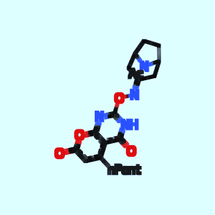 CCCCCc1cc(=O)oc2nc(ON=C3CC4CCC(C3)N4C(C)=O)[nH]c(=O)c12